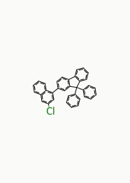 Clc1cc(-c2ccc3c(c2)C(c2ccccc2)(c2ccccc2)c2ccccc2-3)c2ccccc2c1